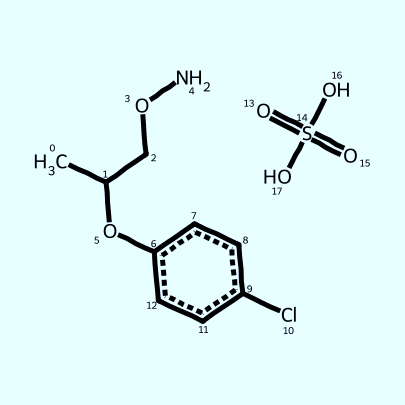 CC(CON)Oc1ccc(Cl)cc1.O=S(=O)(O)O